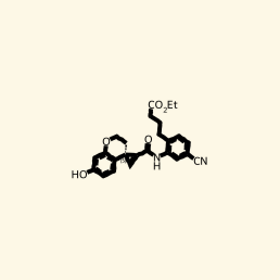 CCOC(=O)CCCc1ccc(C#N)cc1NC(=O)C1=C[C@]12CCOc1cc(O)ccc12